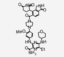 CCc1nc(C(N)=O)c(Nc2ccc(N3CCN(C(=O)c4ccc5c(c4C4CCC(=O)NC4=O)CNC5=O)CC3)c(OC)c2)nc1NC1CCOCC1